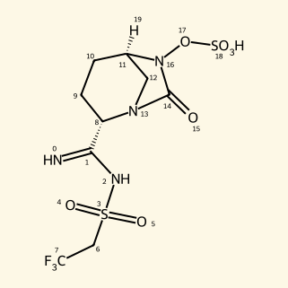 N=C(NS(=O)(=O)CC(F)(F)F)[C@@H]1CC[C@@H]2CN1C(=O)N2OS(=O)(=O)O